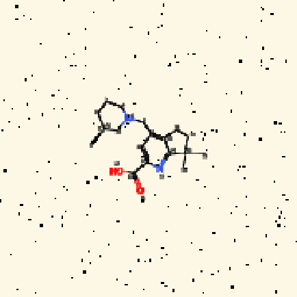 C[C@H]1CCCN(Cc2cc(C(=O)O)nc3c2CCC3(C)C)C1